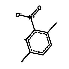 Cc1[c]c([N+](=O)[O-])c(C)cc1